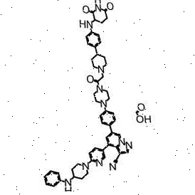 N#Cc1cnn2cc(-c3ccc(N4CCN(C(=O)CN5CCC(c6ccc(NC7CCC(=O)NC7=O)cc6)CC5)CC4)cc3)cc(-c3ccc(N4CCC(Nc5ccccc5)CC4)nc3)c12.O=CO